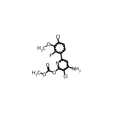 COC(=O)Oc1nc(-c2ccc(Cl)c(OC)c2F)cc(N)c1Cl